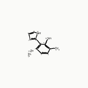 Cc1cccc(-c2ncc[nH]2)c1S.[Zn].[Zn]